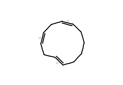 [C]1=C\CCCC/C=C/C/C=C\C/1